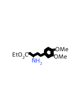 CCOC(=O)C[C@@H](N)CCc1ccc(OC)c(OC)c1